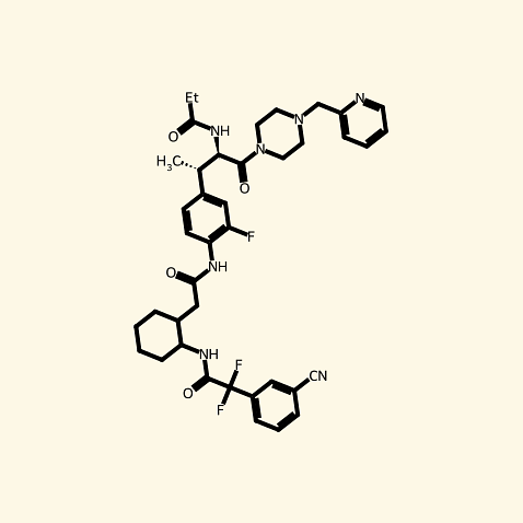 CCC(=O)N[C@@H](C(=O)N1CCN(Cc2ccccn2)CC1)[C@@H](C)c1ccc(NC(=O)CC2CCCCC2NC(=O)C(F)(F)c2cccc(C#N)c2)c(F)c1